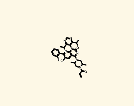 C=CC(=O)N1CC(C)N(c2nc(=O)n(-c3c(C(C)C)ncnc3C(C)C)c3nc(-c4ccccc4F)c(Cl)cc23)CC1C